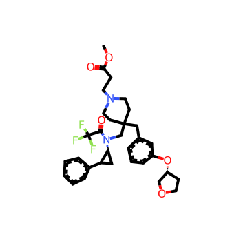 COC(=O)CCN1CCC(Cc2cccc(O[C@@H]3CCOC3)c2)(CN(C(=O)C(F)(F)F)[C@@H]2CC2c2ccccc2)CC1